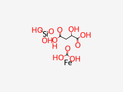 O=C(O)CC(O)C(=O)O.O=C(O)O.O=[Si](O)O.[Fe]